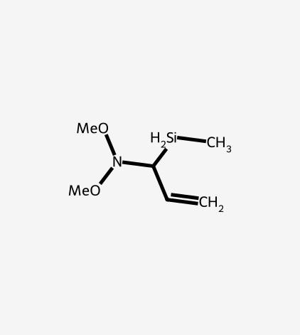 C=CC([SiH2]C)N(OC)OC